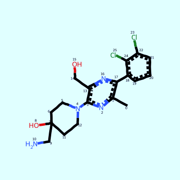 Cc1nc(N2CCC(O)(CN)CC2)c(CO)nc1-c1cccc(Cl)c1Cl